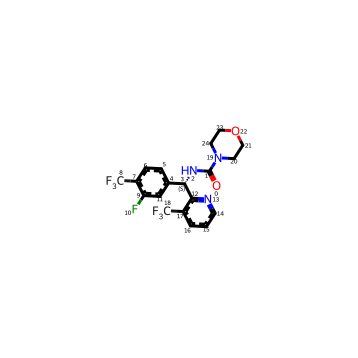 O=C(N[C@@H](c1ccc(C(F)(F)F)c(F)c1)c1ncccc1C(F)(F)F)N1CCOCC1